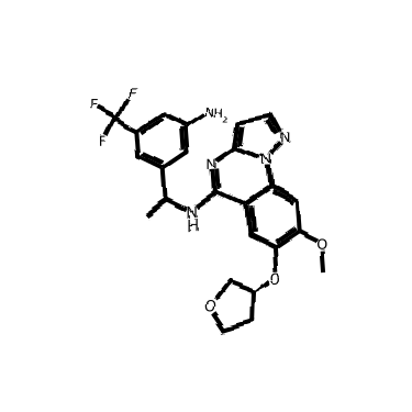 COc1cc2c(cc1O[C@H]1CCOC1)c(NC(C)c1cc(N)cc(C(F)(F)F)c1)nc1ccnn12